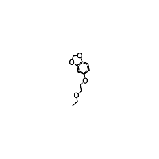 CCOCCOc1ccc2c(c1)OCO2